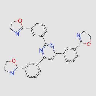 c1cc(C2=NCCO2)cc(-c2cc(-c3cccc(C4=NCCO4)c3)nc(-c3cccc(C4=NCCO4)c3)n2)c1